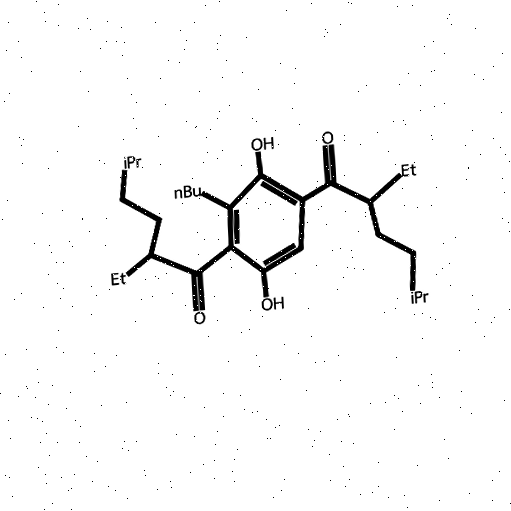 CCCCc1c(O)c(C(=O)C(CC)CCC(C)C)cc(O)c1C(=O)C(CC)CCC(C)C